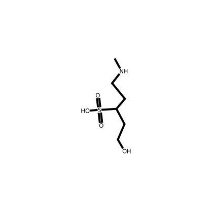 CNCCC(CCO)S(=O)(=O)O